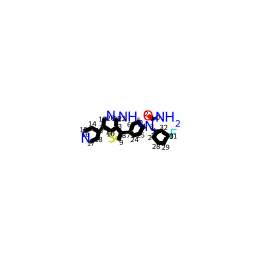 NC(=O)N(c1ccc(-c2csc3c(-c4ccncc4)cnc(N)c23)cc1)c1cccc(F)c1